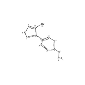 COc1ccc(-c2cscc2Br)cc1